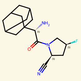 N#C[C@@H]1C[C@H](F)CN1C(=O)[C@@H](N)C12CC3CC(CC(C3)C1)C2